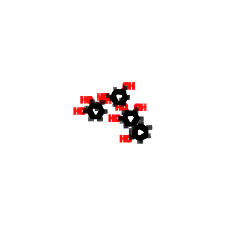 Oc1cccc(O)c1.Oc1cccc(O)c1O.Oc1cccc(O)c1O.Oc1ccccc1